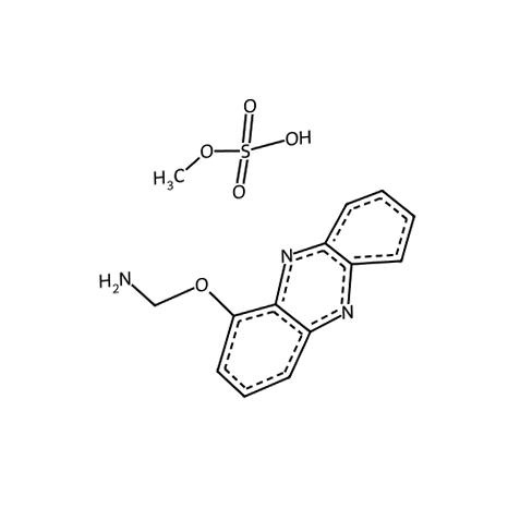 COS(=O)(=O)O.NCOc1cccc2nc3ccccc3nc12